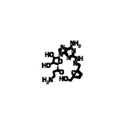 NCCC(=O)[C@H]1O[C@@H](n2cnc3c(N)nc(N/N=C/c4ccc(CO)o4)nc32)[C@H](O)[C@@H]1O